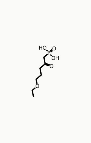 CCOCCCC(=O)CP(=O)(O)O